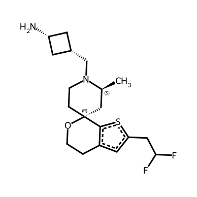 C[C@H]1C[C@@]2(CCN1C[C@H]1C[C@@H](N)C1)OCCc1cc(CC(F)F)sc12